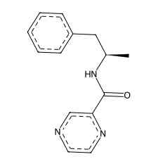 C[C@H](Cc1ccccc1)NC(=O)c1cnccn1